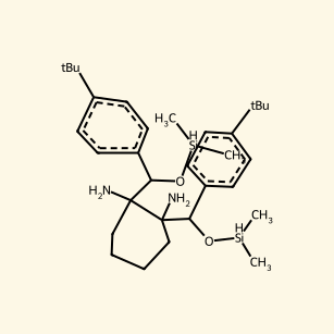 C[SiH](C)OC(c1ccc(C(C)(C)C)cc1)C1(N)CCCCC1(N)C(O[SiH](C)C)c1ccc(C(C)(C)C)cc1